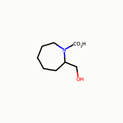 O=C(O)N1CCCCCC1CO